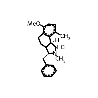 COc1ccc(C)c2c1CCC1[C@@H]2CN(C)[C@@H]1Cc1ccccc1.Cl